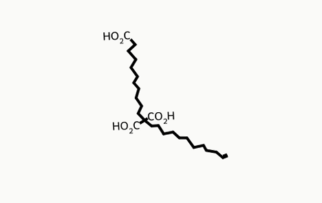 C=CCCCCCCCCCCC(CCCCCCCCCCC(=O)O)(C(=O)O)C(=O)O